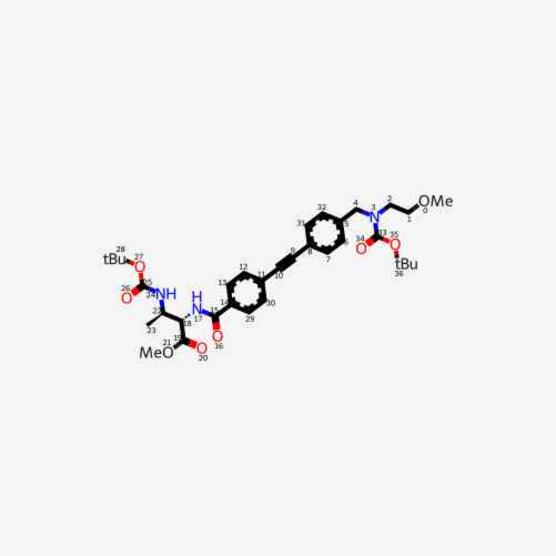 COCCN(Cc1ccc(C#Cc2ccc(C(=O)N[C@H](C(=O)OC)[C@@H](C)NC(=O)OC(C)(C)C)cc2)cc1)C(=O)OC(C)(C)C